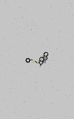 C[C@@H]1C[C@H]2[C@@H]3CCC4=CCC=C[C@]4(C)[C@@]3(F)CC[C@]2(C)[C@H]1CCSCc1ccccc1